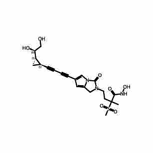 CC(CCN1Cc2cc(C#CC#C[C@H]3C[C@@H]3[C@@H](O)CO)cn2C1=O)(C(=O)NO)S(C)(=O)=O